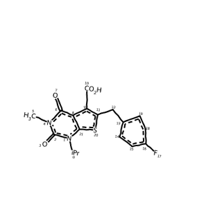 CC(C)n1c(=O)n(C)c(=O)c2c(C(=O)O)c(Cc3ccc(F)cc3)sc21